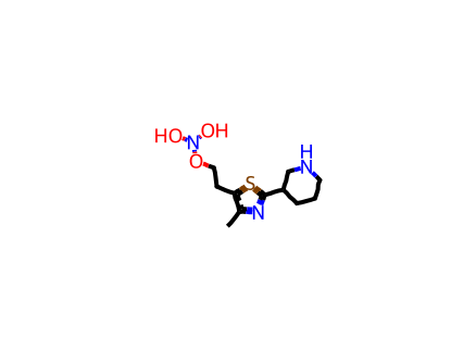 Cc1nc(C2CCCNC2)sc1CCON(O)O